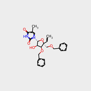 C=C[C@]1(COCc2ccccc2)O[C@@H](n2cc(C)c(=O)[nH]c2=O)[C@H](O)[C@@H]1OCc1ccccc1